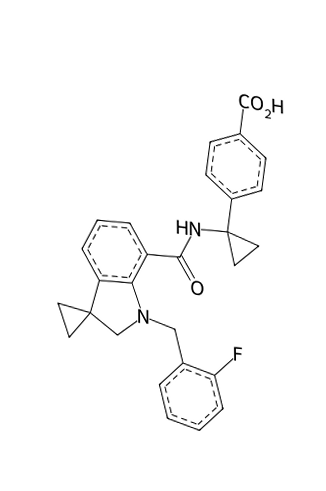 O=C(O)c1ccc(C2(NC(=O)c3cccc4c3N(Cc3ccccc3F)CC43CC3)CC2)cc1